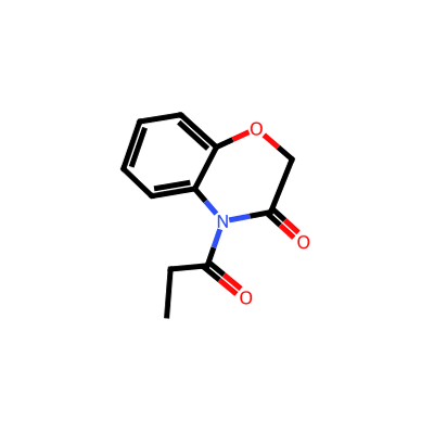 CCC(=O)N1C(=O)COc2ccccc21